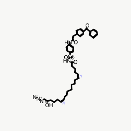 [N-]=[N+]=NC[C@@H](O)CCC/C=C\CCCCCCC/C=C\CCCC(=O)NS(=O)(=O)c1ccc(NC(=O)Cc2ccc(C(=O)c3ccccc3)cc2)cc1